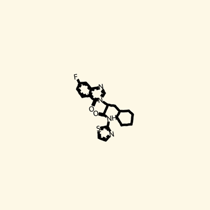 O=C(Nc1nccs1)C(CC1CCCCC1)n1cnc2cc(F)ccc2c1=O